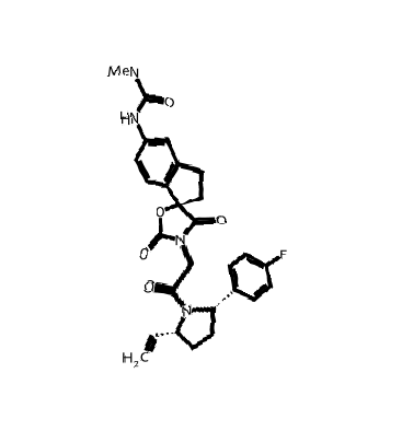 C=C[C@H]1CC[C@@H](c2ccc(F)cc2)N1C(=O)CN1C(=O)O[C@@]2(CCc3cc(NC(=O)NC)ccc32)C1=O